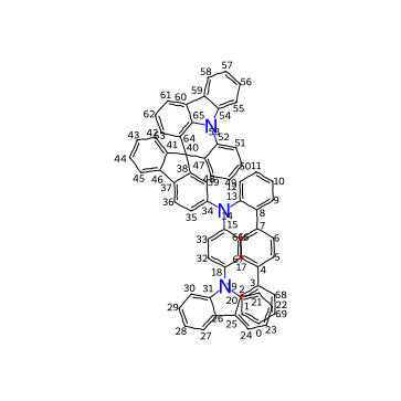 c1ccc(-c2ccc(-c3ccccc3N(c3ccc(-n4c5ccccc5c5ccccc54)cc3)c3ccc4c(c3)C3(c5ccccc5-4)c4ccccc4-n4c5ccccc5c5cccc3c54)cc2)cc1